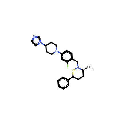 C[C@H]1CCC(c2ccccc2)SN1Cc1ccc(N2CCC(n3ccnc3)CC2)cc1F